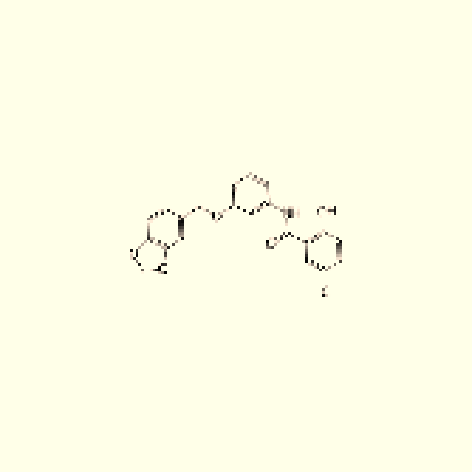 O=C(Nc1cccc(OCc2ccc3c(c2)OCO3)c1)c1cc(Cl)ccc1O